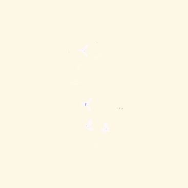 COc1n[s+]([O-])nc1Nc1cccc(S(=O)(=O)N(C)C)c1O